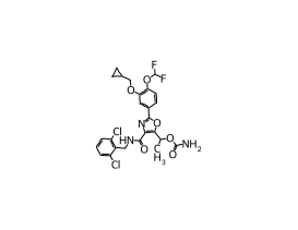 CC(OC(N)=O)c1oc(-c2ccc(OC(F)F)c(OCC3CC3)c2)nc1C(=O)NCc1c(Cl)cccc1Cl